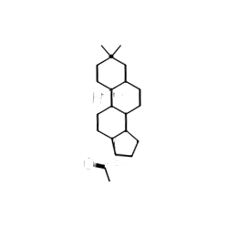 CC(=O)[C@H]1CCC2C3CCC4CC(C)(C)CC[C@@H]4C3CC[C@@]21C